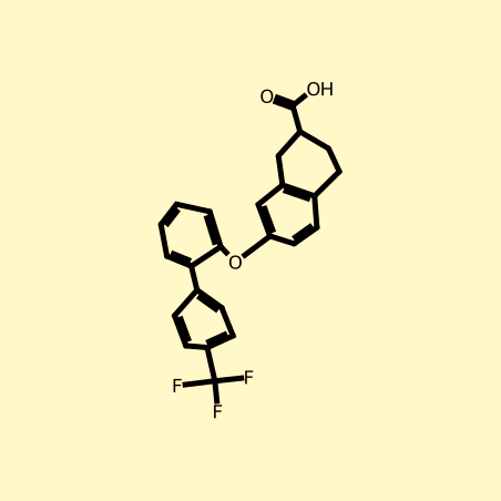 O=C(O)C1CCc2ccc(Oc3ccccc3-c3ccc(C(F)(F)F)cc3)cc2C1